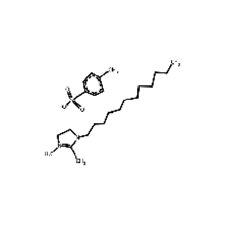 CCCCCCCCCCCCN1CC[N+](C)=C1C.Cc1ccc(S(=O)(=O)[O-])cc1